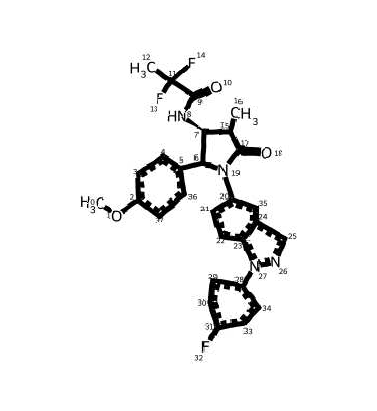 COc1ccc(C2[C@@H](NC(=O)C(C)(F)F)C(C)C(=O)N2c2ccc3c(cnn3-c3ccc(F)cc3)c2)cc1